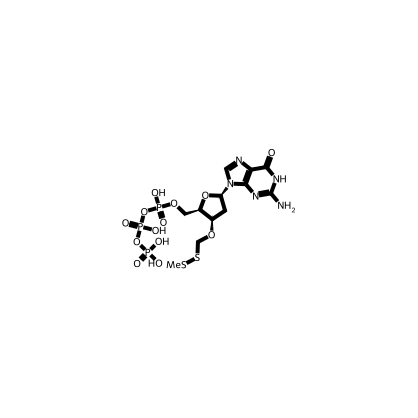 CSSCO[C@@H]1C[C@H](n2cnc3c(=O)[nH]c(N)nc32)O[C@@H]1COP(=O)(O)OP(=O)(O)OP(=O)(O)O